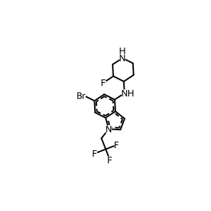 FC1CNCCC1Nc1cc(Br)cc2c1ccn2CC(F)(F)F